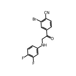 N#Cc1ccc(C(=O)CNc2ccc(F)c(F)c2)cc1Br